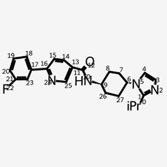 CC(C)c1nccn1[C@H]1CC[C@H](NC(=O)c2ccc(-c3cccc(F)c3)nc2)CC1